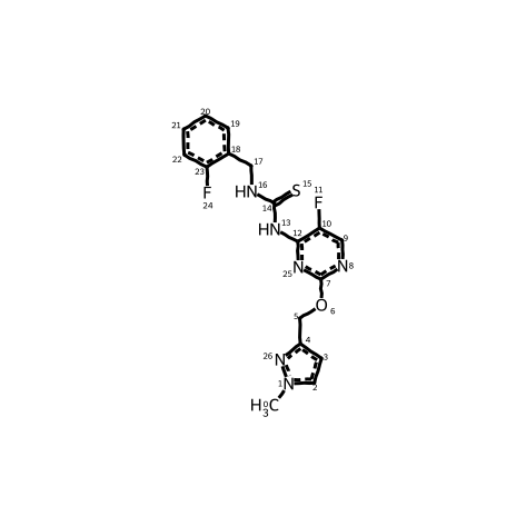 Cn1ccc(COc2ncc(F)c(NC(=S)NCc3ccccc3F)n2)n1